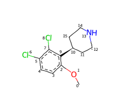 COc1ccc(Cl)c(Cl)c1[C@@H]1C[CH]NCC1